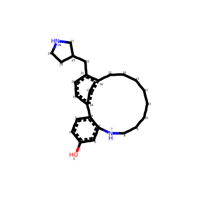 Oc1ccc2c(c1)NCCCCCCCCc1cc-2ccc1CC1CCNC1